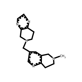 CN1CCc2ncc(CN3CCc4nccnc4C3)cc2C1